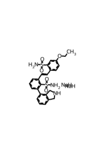 CCOc1ccc(C=Cc2cccc(-c3cccc4c3CNC4)c2S(N)(=O)=O)c(S(N)(=O)=O)c1.[NaH].[NaH]